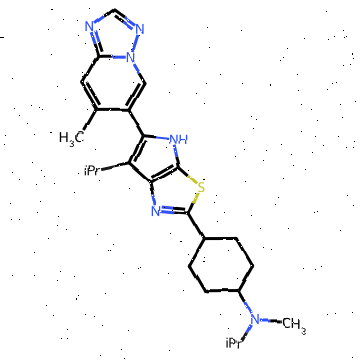 Cc1cc2ncnn2cc1-c1[nH]c2sc(C3CCC(N(C)C(C)C)CC3)nc2c1C(C)C